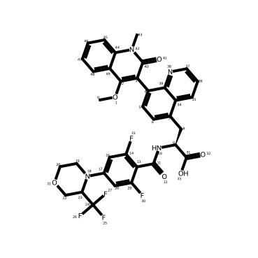 COc1c(-c2ccc(C[C@H](NC(=O)c3c(F)cc(N4CCOCC4C(F)(F)F)cc3F)C(=O)O)c3cccnc23)c(=O)n(C)c2ccccc12